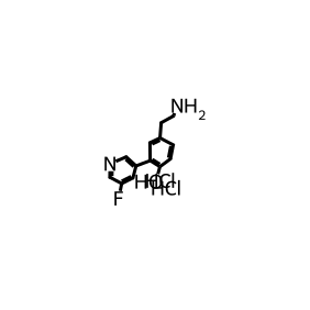 Cl.Cl.NCCc1ccc(O)c(-c2cncc(F)c2)c1